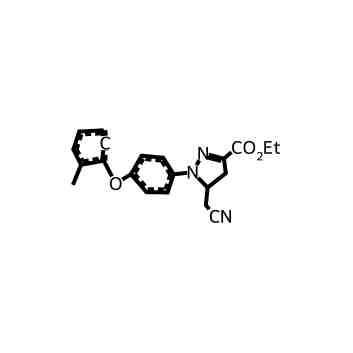 CCOC(=O)C1=NN(c2ccc(Oc3ccccc3C)cc2)C(CC#N)C1